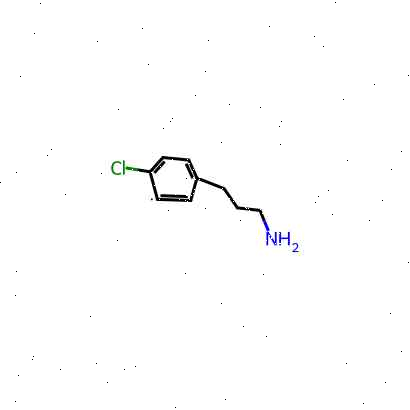 NCCCc1c[c]c(Cl)cc1